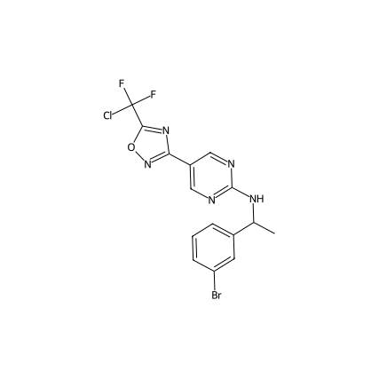 CC(Nc1ncc(-c2noc(C(F)(F)Cl)n2)cn1)c1cccc(Br)c1